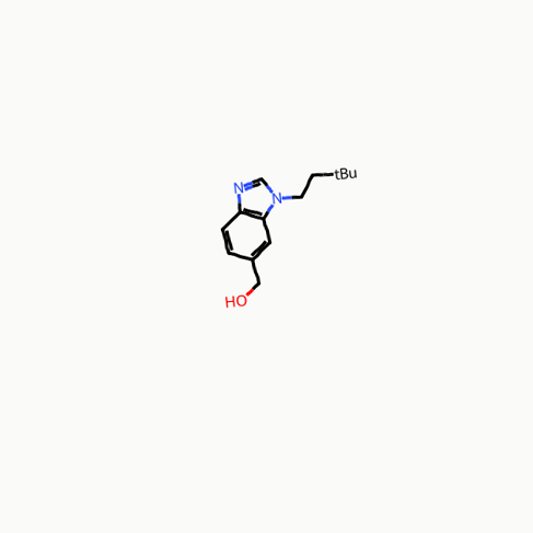 CC(C)(C)CCn1cnc2ccc(CO)cc21